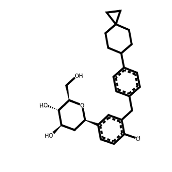 OC[C@H]1O[C@@H](c2ccc(Cl)c(Cc3ccc(C4CCC5(CC4)CC5)cc3)c2)C[C@@H](O)[C@@H]1O